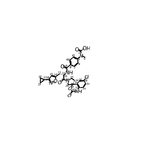 CN(C(=O)O)c1ccc(C(=O)N[C@@H](Cc2cc(C3CC3)no2)C(=O)N2CC[C@@]3(C2)OC(=O)Nc2ccc(Cl)cc23)cc1